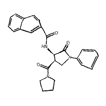 O=C(N[C@H]1C(=O)N(c2ccccc2)C[C@H]1C(=O)N1CCCC1)c1ccc2ccccc2c1